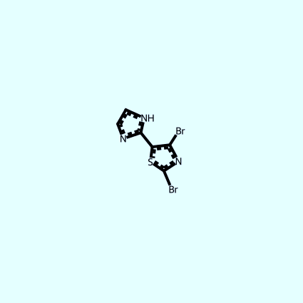 Brc1nc(Br)c(-c2ncc[nH]2)s1